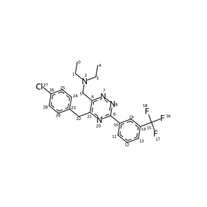 CCN(CC)Cc1nnc(-c2cccc(C(F)(F)F)c2)nc1Cc1ccc(Cl)cc1